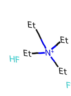 CC[N+](CC)(CC)CC.F.[F-]